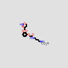 O=C(O)NCCCCNC(=O)COc1cccc2c1OC(C1CCONO1)O2